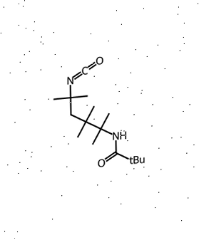 CC(C)(CC(C)(C)C(C)(C)NC(=O)C(C)(C)C)N=C=O